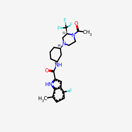 CC(=O)N1CCN([C@@H]2CCC[C@@H](NC(=O)c3cc4c(F)ccc(C)c4[nH]3)C2)C[C@H]1C(F)(F)F